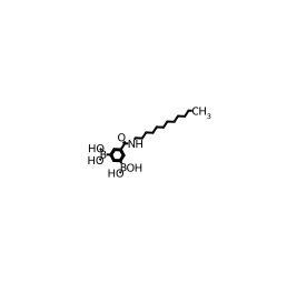 CCCCCCCCCCCCNC(=O)c1cc(B(O)O)cc(B(O)O)c1